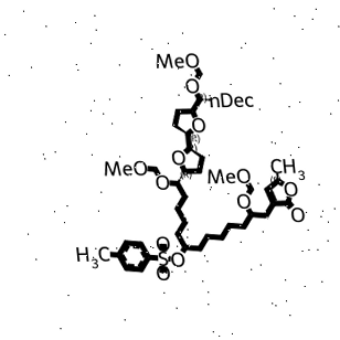 CCCCCCCCCC[C@@H](OCOC)C1CC[C@H]([C@H]2CC[C@H](C(CCCCC(CCCCCC(CC3=C[C@H](C)OC3=O)OCOC)OS(=O)(=O)c3ccc(C)cc3)OCOC)O2)O1